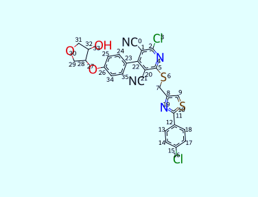 N#Cc1c(Cl)nc(SCc2csc(-c3ccc(Cl)cc3)n2)c(C#N)c1-c1ccc(OC2COCC2O)cc1